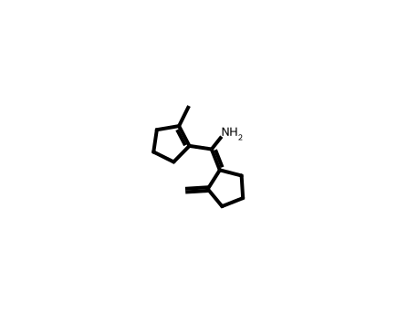 C=C1CCC/C1=C(\N)C1=C(C)CCC1